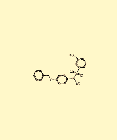 CCN(c1ccc(OCc2ccccc2)cc1)S(=O)(=O)c1cccc(C(F)(F)F)c1